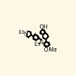 CCN1CCC(c2ccc(CN(CC)c3cc(OC)ccc3C3CCc4cc(O)ccc4C3)cc2)CC1